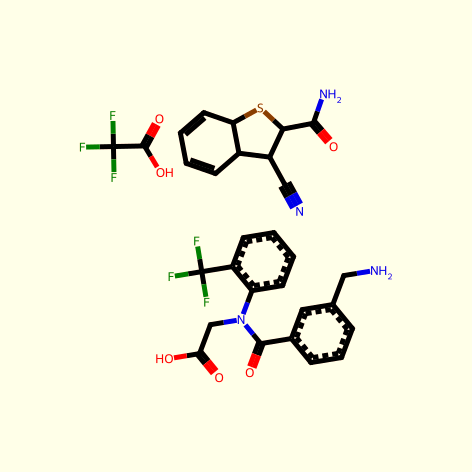 N#CC1C(C(N)=O)SC2C=CC=CC21.NCc1cccc(C(=O)N(CC(=O)O)c2ccccc2C(F)(F)F)c1.O=C(O)C(F)(F)F